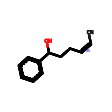 N#C/C=C\CCC(O)c1ccccc1